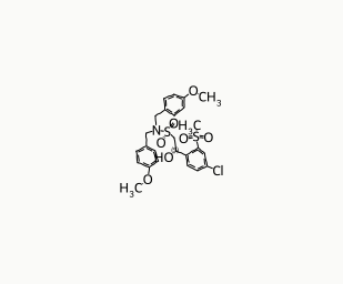 COc1ccc(CN(Cc2ccc(OC)cc2)S(=O)(=O)C[C@@H](O)c2ccc(Cl)cc2S(C)(=O)=O)cc1